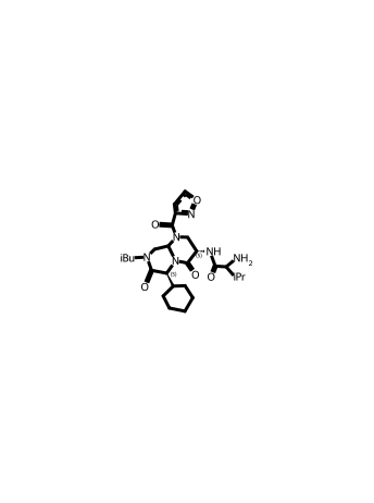 CCC(C)N1CC2N(C(=O)c3ccon3)C[C@H](NC(=O)C(N)C(C)C)C(=O)N2[C@@H](C2CCCCC2)C1=O